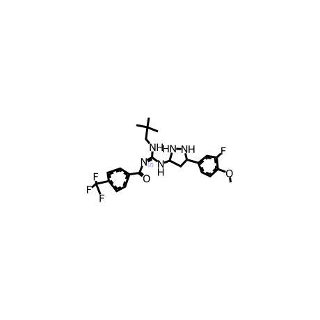 COc1ccc(C2CC(N/C(=N\C(=O)c3ccc(C(F)(F)F)cc3)NCC(C)(C)C)NN2)cc1F